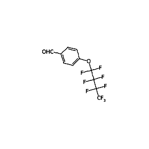 O=Cc1ccc(OC(F)(F)C(F)(F)C(F)(F)C(F)(F)F)cc1